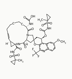 COc1ccc2nc(C(F)(F)F)c3c(c2c1)[C@H](OC(=O)NS(=O)(=O)C1(C)CC1)C[C@]1(C[C@H]2C(=O)N[C@]4(C(=O)NS(=O)(=O)C5(C)CC5)C[C@H]4C=CCCCCC[C@H](NC(=O)O)C(=O)N2C1)O3